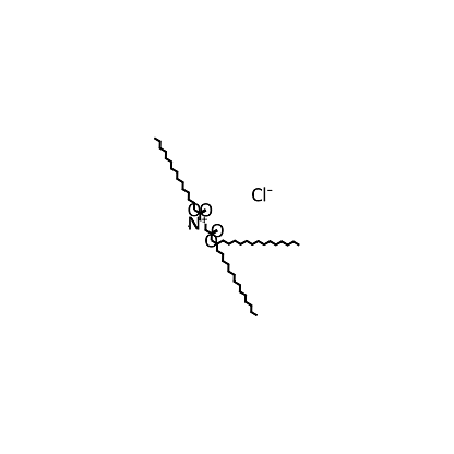 CCCCCCCCCCCCCCOC(=O)[C@H](CCC(=O)OC(CCCCCCCCCCCCCC)CCCCCCCCCCCCCC)[N+](C)(C)C.[Cl-]